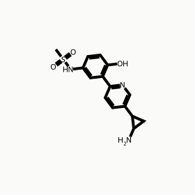 CS(=O)(=O)Nc1ccc(O)c(-c2ccc(C3CC3N)cn2)c1